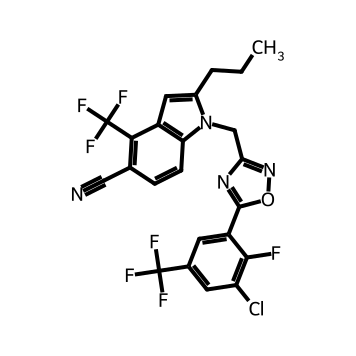 CCCc1cc2c(C(F)(F)F)c(C#N)ccc2n1Cc1noc(-c2cc(C(F)(F)F)cc(Cl)c2F)n1